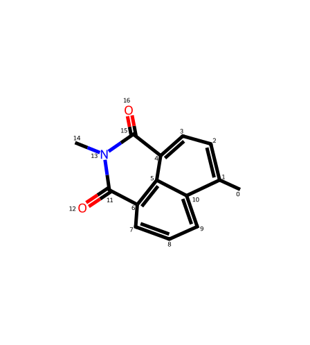 Cc1ccc2c3c(cccc13)C(=O)N(C)C2=O